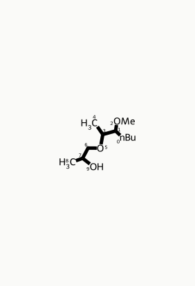 CCCCC(OC)C(C)OCC(C)O